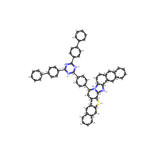 c1ccc(-c2ccc(-c3nc(-c4ccc(-c5ccccc5)cc4)nc(-c4ccc(-c5cc6c7cc8ccccc8cc7sc6c6nc7c8cc9ccccc9cc8ccc7n56)cc4)n3)cc2)cc1